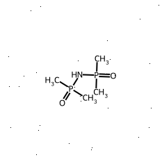 CP(C)(=O)NP(C)(C)=O